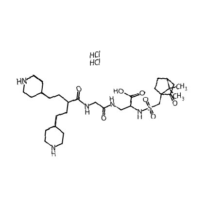 CC1(C)C2CCC1(CS(=O)(=O)NC(CNC(=O)CNC(=O)C(CCC1CCNCC1)CCC1CCNCC1)C(=O)O)C(=O)C2.Cl.Cl